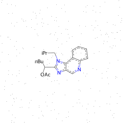 CCCCC(OC(C)=O)c1nc2cnc3ccccc3c2n1CC(C)C